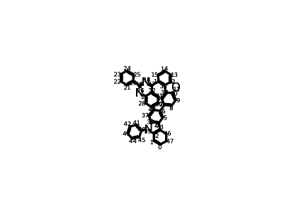 C1=Cc2c(c3cc(-c4ccc5oc6cccc(-c7nc(-c8ccccc8)nc8ccccc78)c6c5c4)ccc3n2-c2ccccc2)CC1